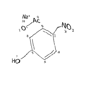 CC(=O)[O-].O=[N+]([O-])c1ccc(O)cc1.[Na+]